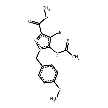 COC(=O)c1nn(Cc2ccc(OC)cc2)c(NC(C)=S)c1Br